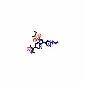 C=CCn1cc(-c2cn(S(=O)(=O)C(C)CC)c3cc(-c4c(C)noc4C)cnc23)cn1